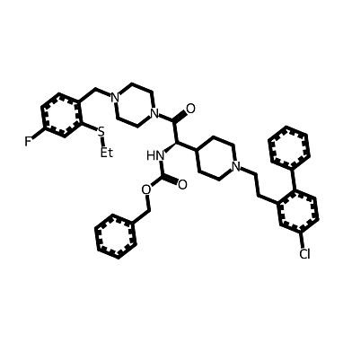 CCSc1cc(F)ccc1CN1CCN(C(=O)[C@H](NC(=O)OCc2ccccc2)C2CCN(CCc3cc(Cl)ccc3-c3ccccc3)CC2)CC1